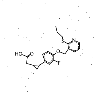 CCCSc1ncccc1COc1ccc(C2CC2CC(=O)O)cc1F